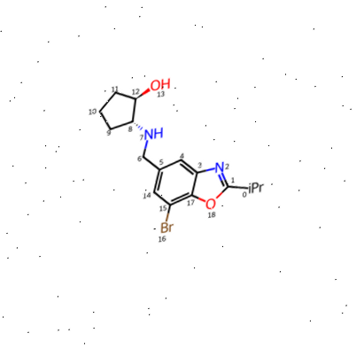 CC(C)c1nc2cc(CN[C@@H]3CCC[C@H]3O)cc(Br)c2o1